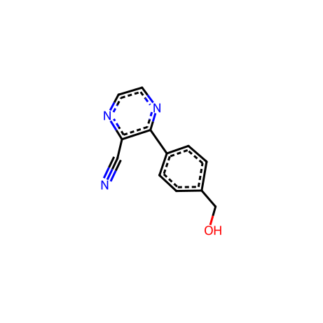 N#Cc1nccnc1-c1ccc(CO)cc1